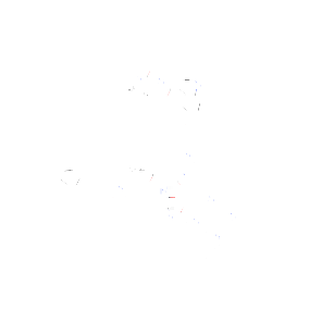 COC(=O)C[C@H](NC(=O)[C@H](CCOCCNC(O)CCCc1ccc(C)cc1)NC(=O)CN1CCN(CC(=O)O)CCN(CC(=O)O)CCN(CC(=O)O)CC1)C(=O)N1CCN(CCCOc2ccc3nccc(C(=O)NCC(=O)N4CC(F)(F)C[C@@H]4C#N)c3c2)CC1